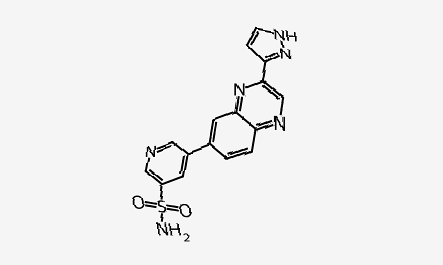 NS(=O)(=O)c1cncc(-c2ccc3ncc(-c4cc[nH]n4)nc3c2)c1